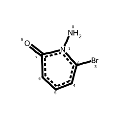 Nn1c(Br)cccc1=O